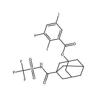 O=C(OC12CC3CC(C1)CC(C(=O)NS(=O)(=O)C(F)(F)F)(C3)C2)c1cc(I)cc(I)c1I